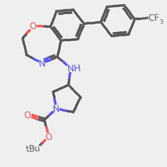 CC(C)(C)OC(=O)N1CCC(NC2=NCCOc3ccc(-c4ccc(C(F)(F)F)cc4)cc32)C1